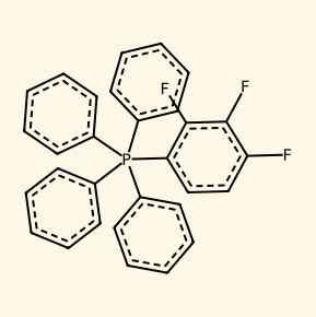 Fc1ccc(P(c2ccccc2)(c2ccccc2)(c2ccccc2)c2ccccc2)c(F)c1F